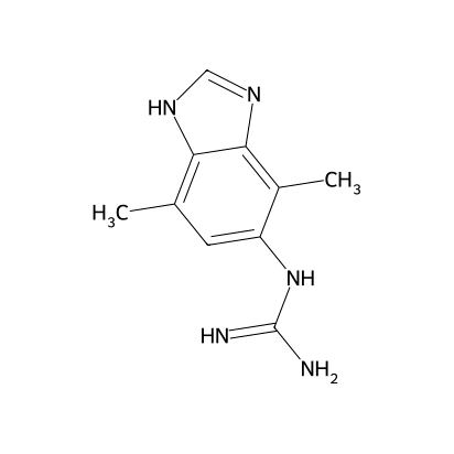 Cc1c(NC(=N)N)cc(C)c2[nH]cnc12